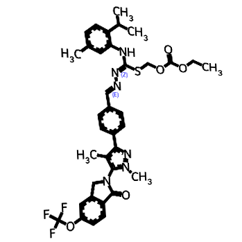 CCOC(=O)OCS/C(=N\N=C\c1ccc(-c2nn(C)c(N3Cc4cc(OC(F)(F)F)ccc4C3=O)c2C)cc1)Nc1cc(C)ccc1C(C)C